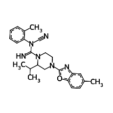 Cc1ccc2oc(N3CCN(C(=N)N(C#N)c4ccccc4C)C(C(C)C)C3)nc2c1